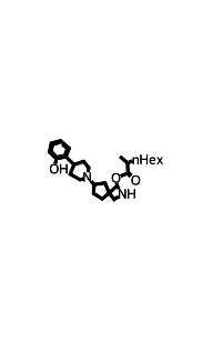 CCCCCCC(C)C(=O)OC1NCC12CCC(N1CCC(c3ccccc3O)CC1)C2